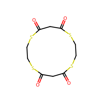 O=C1CC(=O)SCCSC(=O)CC(=O)SCCS1